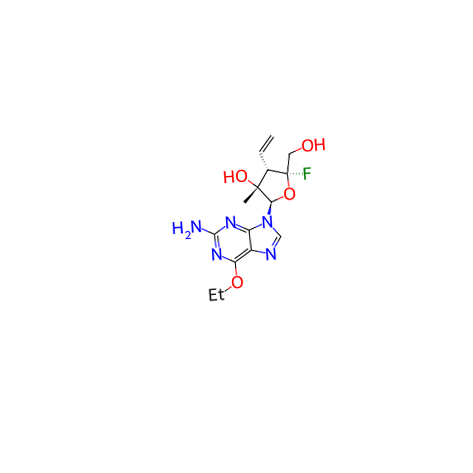 C=C[C@H]1[C@@](C)(O)[C@H](n2cnc3c(OCC)nc(N)nc32)O[C@]1(F)CO